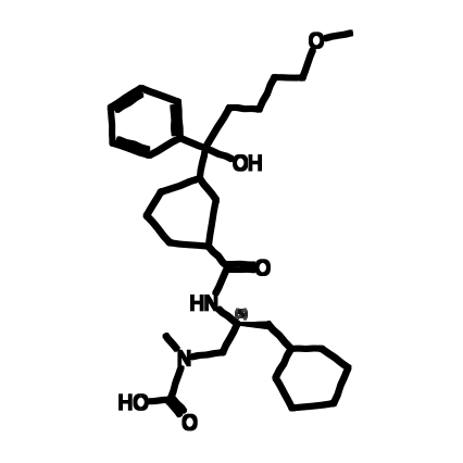 COCCCCC(O)(c1ccccc1)C1CCCC(C(=O)N[C@@H](CC2CCCCC2)CN(C)C(=O)O)C1